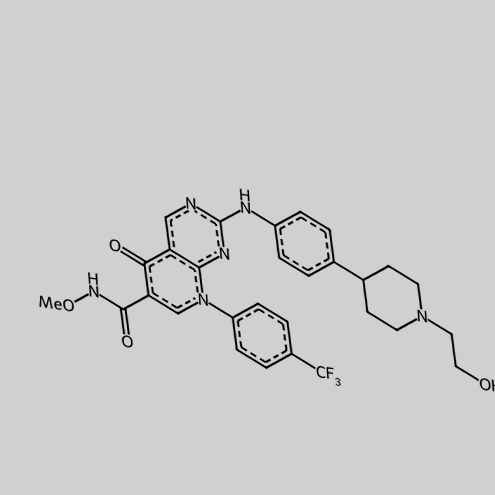 CONC(=O)c1cn(-c2ccc(C(F)(F)F)cc2)c2nc(Nc3ccc(C4CCN(CCO)CC4)cc3)ncc2c1=O